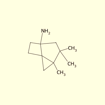 CC1(C)CC2(N)CCC23CC13C